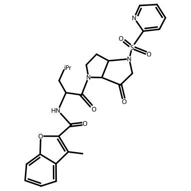 Cc1c(C(=O)NC(CC(C)C)C(=O)N2CCC3C2C(=O)CN3S(=O)(=O)c2ccccn2)oc2ccccc12